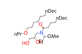 CCCCCCCCCCCCCC(=O)N(CC(O)CO)C(CC)OC.CCCCCCCCCCCCCCCCOCCC